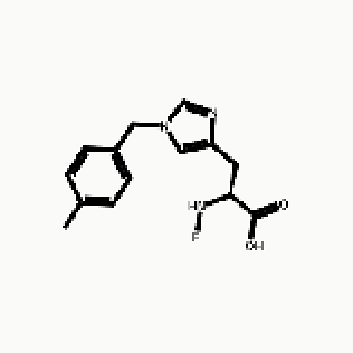 Cc1ccc(Cn2cnc(C[C@H](NF)C(=O)O)c2)cc1